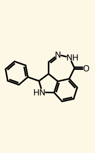 O=C1NN=CC2c3c(cccc31)NC2c1ccccc1